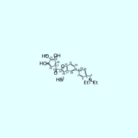 Br.CCN(CC)Cc1ccc(-c2ccc3oc(C(=O)c4cc(O)c(O)c(O)c4)cc3c2)cc1